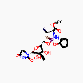 C#C[C@@]1(O)[C@H](O)[C@@H](COP(=S)(N[C@@H](CI)C(=O)OC(C)C)Oc2ccccc2)O[C@H]1n1ccc(=O)[nH]c1=O